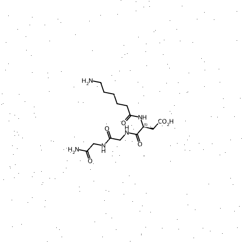 NCCCCCC(=O)N[C@@H](CC(=O)O)C(=O)NCC(=O)NCC(N)=O